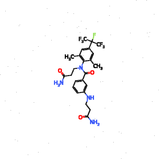 Cc1cc(C(F)(C(F)(F)F)C(F)(F)F)cc(C)c1N(CCC(N)=O)C(=O)c1cccc(NCCC(N)=O)c1